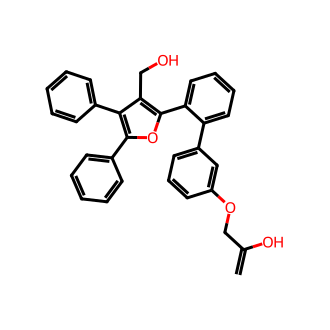 C=C(O)COc1cccc(-c2ccccc2-c2oc(-c3ccccc3)c(-c3ccccc3)c2CO)c1